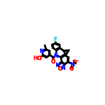 Cc1cc(C(=O)N(c2ccc(F)cc2C2CC2)c2ccc([N+](=O)[O-])c3nonc23)cc(O)n1